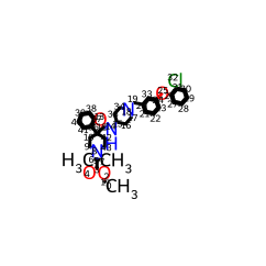 CCOC(=O)C(C)(C)N1CCC(C(=O)NC2CCN(Cc3cccc(Oc4ccccc4Cl)c3)CC2)(c2ccccc2)CC1